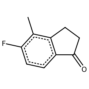 Cc1c(F)ccc2c1CCC2=O